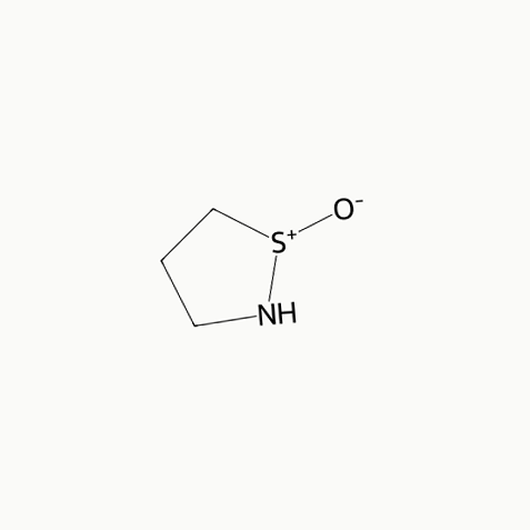 [O-][S+]1CCCN1